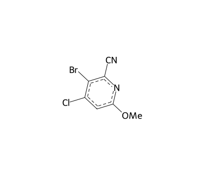 COc1cc(Cl)c(Br)c(C#N)n1